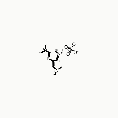 CN(C)C=NC(=CN(C)C)C=[N+](C)C.[O-][Cl+3]([O-])([O-])[O-]